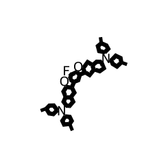 Cc1ccc(N(c2ccc(C)cc2)c2ccc3cc4c(cc3c2)oc2c(F)c3oc5cc6cc(N(c7ccc(C)cc7)c7ccc(C)cc7)ccc6cc5c3cc24)cc1